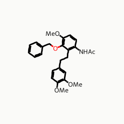 COc1ccc(CCc2c(NC(C)=O)ccc(OC)c2OCc2ccccc2)cc1OC